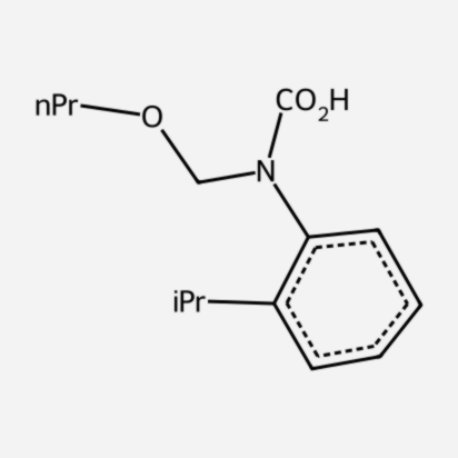 CCCOCN(C(=O)O)c1ccccc1C(C)C